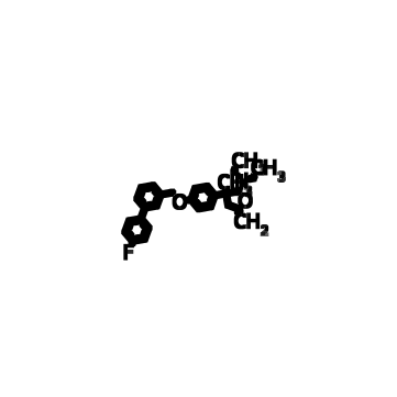 C=CCC(C)(C(=O)N(CC)CC)c1ccc(OCc2cccc(-c3ccc(F)cc3)c2)cc1